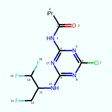 CC(C)C(=O)Nc1nc(Cl)nc(NC(CF)C(F)F)n1